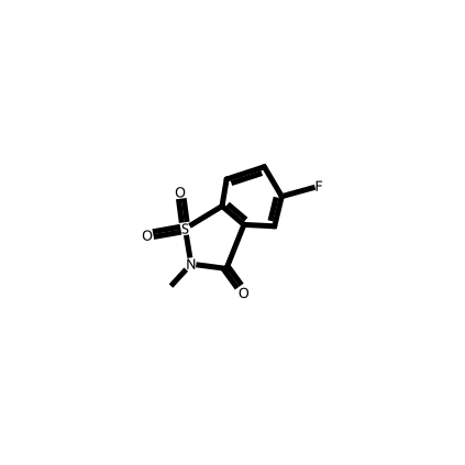 CN1C(=O)c2cc(F)ccc2S1(=O)=O